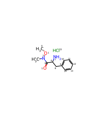 CON(C)C(=O)C(N)Cc1ccccc1.Cl